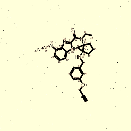 C#CCOc1cccc(CN[C@]23CCC[C@@]2(N(CC)C(=O)c2nc4c(N=[N+]=[N-])cccc4[nH]2)C3)c1